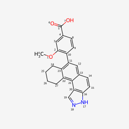 COc1cc(C(=O)O)ccc1-c1cc2ccc3[nH]ncc3c2c2c1CCCC2